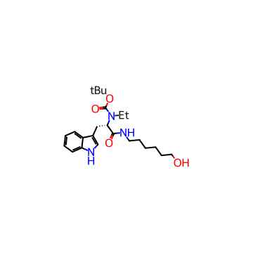 CCN(C(=O)OC(C)(C)C)[C@@H](Cc1c[nH]c2ccccc12)C(=O)NCCCCCCO